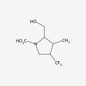 CC1C(CO)N(C(=O)O)CC1C(F)(F)F